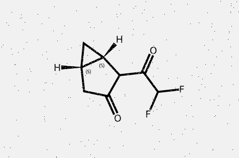 O=C1C[C@@H]2C[C@@H]2C1C(=O)C(F)F